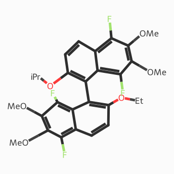 CCOc1ccc2c(F)c(OC)c(OC)c(F)c2c1-c1c(OC(C)C)ccc2c(F)c(OC)c(OC)c(F)c12